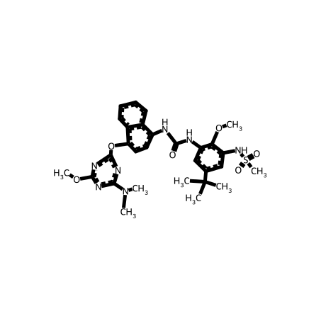 COc1nc(Oc2ccc(NC(=O)Nc3cc(C(C)(C)C)cc(NS(C)(=O)=O)c3OC)c3ccccc23)nc(N(C)C)n1